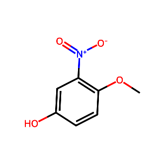 COc1ccc(O)cc1[N+](=O)[O-]